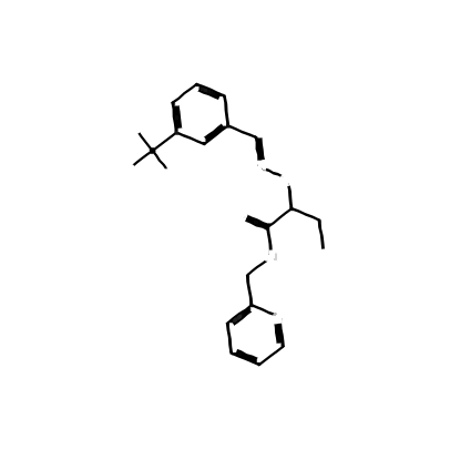 CCC(O/N=C/c1cccc(C(F)(F)F)c1)C(=O)NCc1ccccn1